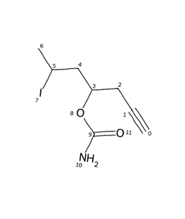 C#CCC(CC(C)I)OC(N)=O